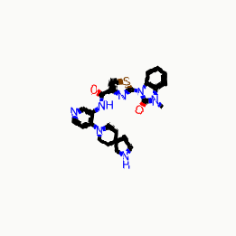 CN1C(=O)N(c2nc(C(=O)Nc3cnccc3N3CCC4(CCNC4)CC3)cs2)C2C=CC=CC21